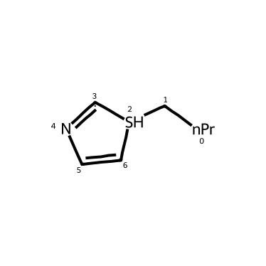 CCCC[SH]1[C]=NC=C1